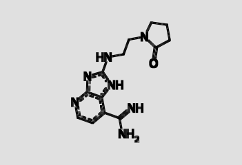 N=C(N)c1ccnc2nc(NCCN3CCCC3=O)[nH]c12